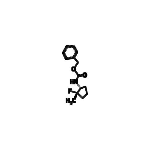 C[C@]1(F)CCC[C@H]1NC(=O)OCc1ccccc1